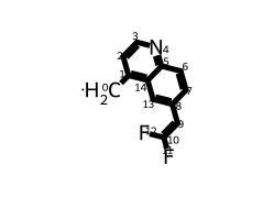 [CH2]c1ccnc2ccc(C=C(F)F)cc12